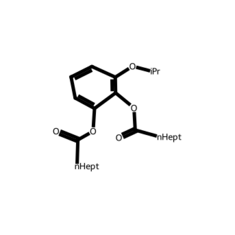 CCCCCCCC(=O)Oc1cccc(OC(C)C)c1OC(=O)CCCCCCC